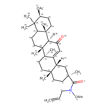 C=CCN(OC)C(=O)[C@@]1(C)CC[C@]2(C)CC[C@]3(C)C(=CC(=O)[C@@H]4[C@@]5(C)CC[C@H](OC(C)=O)C(C)(C)C5CC[C@]43C)[C@@H]2C1